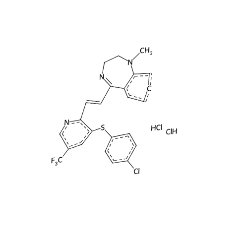 CN1CCN=C(C=Cc2ncc(C(F)(F)F)cc2Sc2ccc(Cl)cc2)c2ccccc21.Cl.Cl